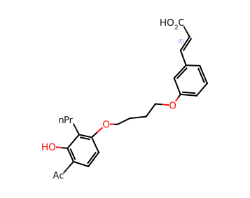 CCCc1c(OCCCCOc2cccc(/C=C/C(=O)O)c2)ccc(C(C)=O)c1O